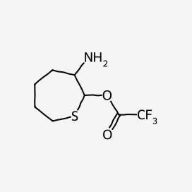 NC1CCCCSC1OC(=O)C(F)(F)F